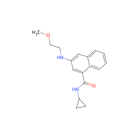 COCCNc1cc(C(=O)NC2CC2)c2ccccc2c1